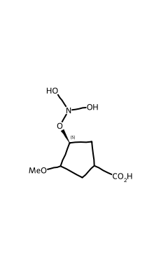 COC1CC(C(=O)O)C[C@@H]1ON(O)O